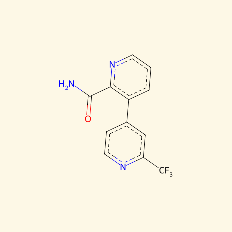 NC(=O)c1ncccc1-c1ccnc(C(F)(F)F)c1